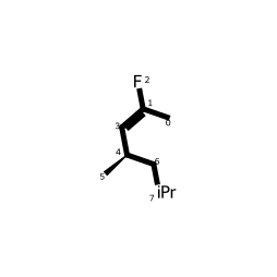 C/C(F)=C\[C@H](C)CC(C)C